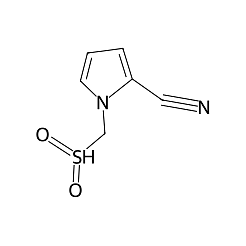 N#Cc1cccn1C[SH](=O)=O